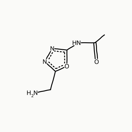 CC(=O)Nc1nnc(CN)o1